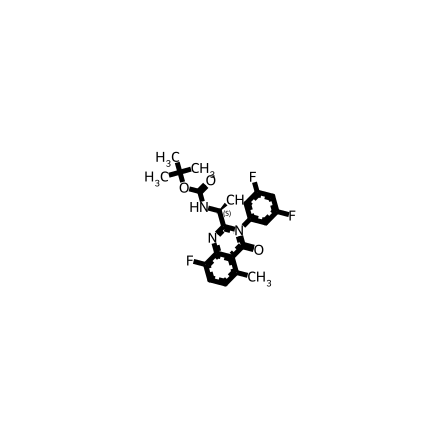 Cc1ccc(F)c2nc([C@H](C)NC(=O)OC(C)(C)C)n(-c3cc(F)cc(F)c3)c(=O)c12